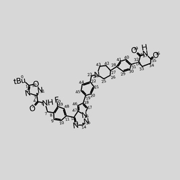 CC(C)(C)c1nc(C(=O)NCc2ccc(-c3ncnn4cc(-c5ccc(CN6CCC(c7ccc([C@@H]8CCC(=O)NC8=O)cc7)CC6)cc5)cc34)cc2F)no1